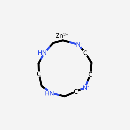 C1C[N-]CCNCCCNCC[N-]C1.[Zn+2]